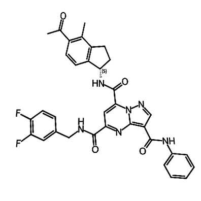 CC(=O)c1ccc2c(c1C)CC[C@@H]2NC(=O)c1cc(C(=O)NCc2ccc(F)c(F)c2)nc2c(C(=O)Nc3ccccc3)cnn12